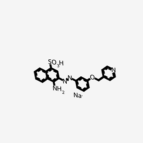 Nc1c(N=Nc2cccc(OCc3ccncc3)c2)cc(S(=O)(=O)O)c2ccccc12.[Na]